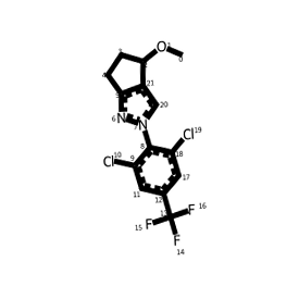 COC1CCc2nn(-c3c(Cl)cc(C(F)(F)F)cc3Cl)cc21